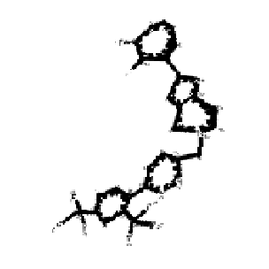 Fc1cccc(-c2cc3cn(Cc4ccc(-c5ccc(C(F)(F)F)cc5C(F)(F)F)nn4)ccc-3n2)c1F